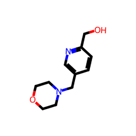 OCc1ccc(CN2CCOCC2)cn1